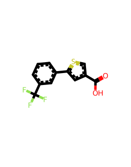 O=C(O)c1csc(-c2cccc(C(F)(F)F)c2)c1